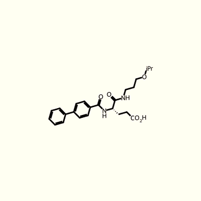 CC(C)OCCCNC(=O)[C@H](CCC(=O)O)NC(=O)c1ccc(-c2ccccc2)cc1